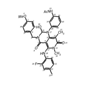 COc1ccc(CN2C(=O)c3c(c(C)c(=O)n(C)c3Nc3ccc(I)cc3F)N(c3cccc(NC(C)=O)c3)C2O)cc1